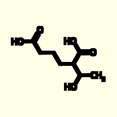 CC(O)C(CCCC(=O)O)C(=O)O